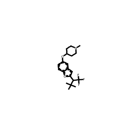 CN1CCC(Oc2ccc3oc(C(C(C)(C)C)C(F)(F)F)cc3c2)CC1